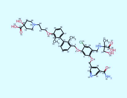 Cc1c(COc2cc(OCc3cncc(C(N)=O)c3)c(CNC(C)(CO)C(=O)O)cc2Cl)cccc1-c1cccc(OCCCN2CCC(O)(C(=O)O)CC2)c1C